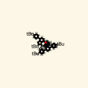 C[SiH](C)[Zr]([CH]1C(C(C)(C)C)=Cc2c(-c3ccc(C(C)(C)C)cc3)ccc(-c3ccc(C(C)(C)C)cc3)c21)[CH]1C(C(C)(C)C)=Cc2c(-c3ccc(C(C)(C)C)cc3)ccc(-c3ccc(C(C)(C)C)cc3)c21